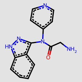 NCC(=O)N(c1ccncc1)c1n[nH]c2ccccc12